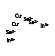 [Cu].[Cu].[In+3].[In+3].[Se-2].[Se-2].[Se-2]